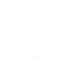 Cc1ccc(Oc2c(C)nn(CCO)c2C2CC2)cc1C#N